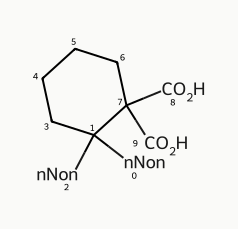 CCCCCCCCCC1(CCCCCCCCC)CCCCC1(C(=O)O)C(=O)O